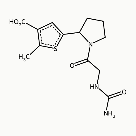 Cc1sc(C2CCCN2C(=O)CNC(N)=O)cc1C(=O)O